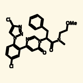 COCCN(C)C(=O)C(Cc1ccccc1)n1cnc(-c2cc(Cl)ccc2-n2cc(Cl)nn2)cc1=O